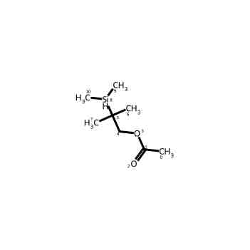 CC(=O)OCC(C)(C)[SiH](C)C